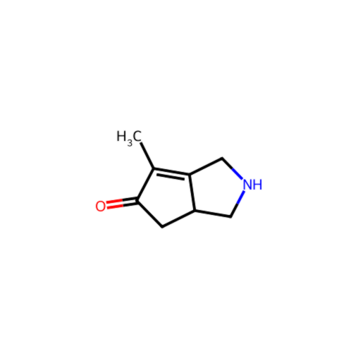 CC1=C2CNCC2CC1=O